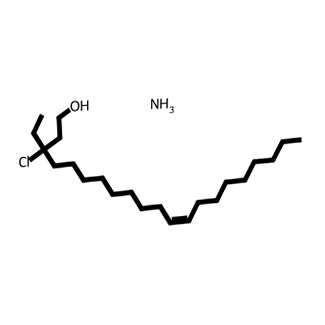 CCCCCCCC/C=C\CCCCCCCCC(Cl)(CC)CCO.N